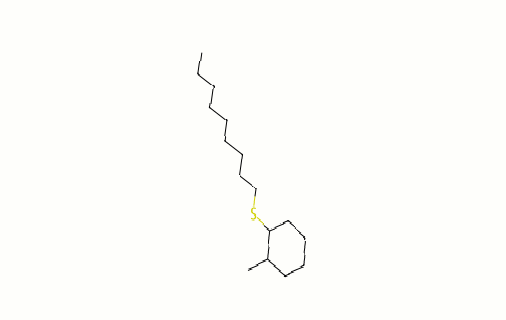 CCCCCCCCCSC1CCCCC1C